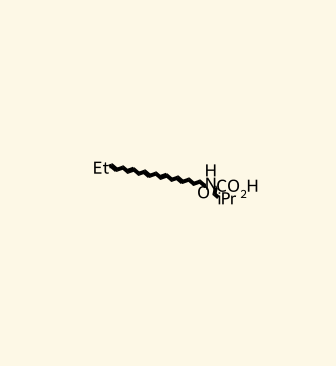 CCC=CCC=CCC=CCC=CCC=CCCCC(=O)NC(CC(C)C)C(=O)O